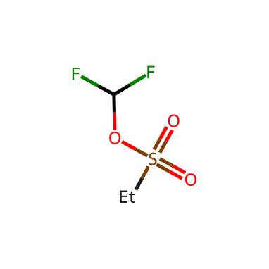 CCS(=O)(=O)OC(F)F